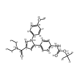 CCN(CC)C(=O)c1cc(-c2cnc(NC(=O)OC(C)(C)C)cn2)n(-c2ccc(OC)nc2)n1